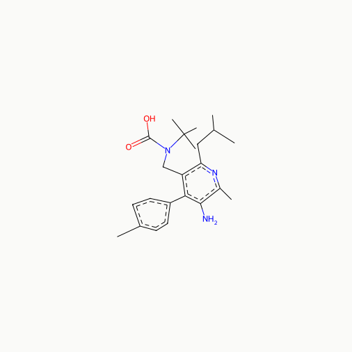 Cc1ccc(-c2c(N)c(C)nc(CC(C)C)c2CN(C(=O)O)C(C)(C)C)cc1